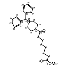 COC(=O)CCCCCCC(=O)N1CCN(C(c2ccccc2)c2ccccc2)CC1